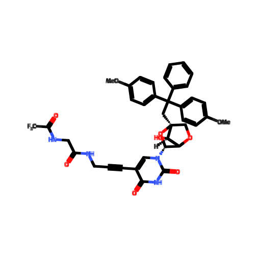 COc1ccc(C(C[C@@]23COC([C@H](n4cc(C#CCNC(=O)CNC(=O)C(F)(F)F)c(=O)[nH]c4=O)O2)[C@H]3O)(c2ccccc2)c2ccc(OC)cc2)cc1